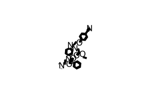 CCOC(=O)Cn1c(COc2ccc(C#N)cc2)nc2ccc(N(CCN(C)C)S(=O)(=O)c3ccccc3)cc21